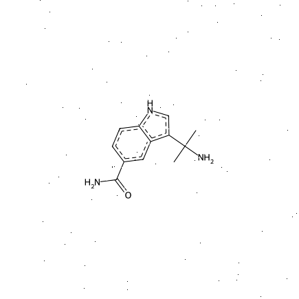 CC(C)(N)c1c[nH]c2ccc(C(N)=O)cc12